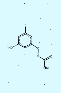 CCCCC(=O)OOc1cc(O)cc(F)c1